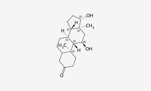 C[C@]12C[C@@H](O)[C@H]3[C@@H](CCC4CC(=O)CC[C@@]43C)[C@@H]1CC[C@@H]2O